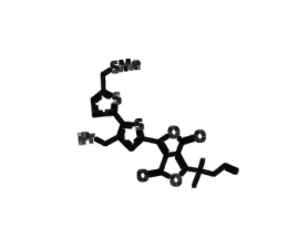 C=CCC(C)(C)C1=C2C(=O)OC(c3cc(CC(C)C)c(-c4ccc(CSC)s4)s3)=C2C(=O)O1